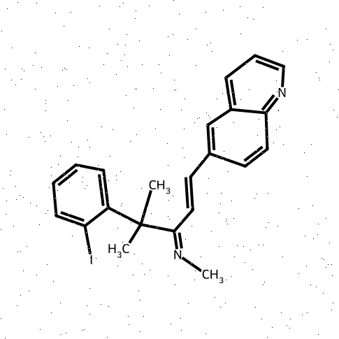 C/N=C(\C=C\c1ccc2ncccc2c1)C(C)(C)c1ccccc1I